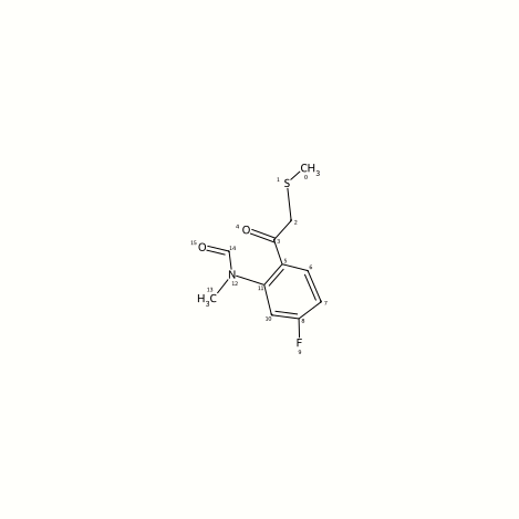 CSCC(=O)c1ccc(F)cc1N(C)C=O